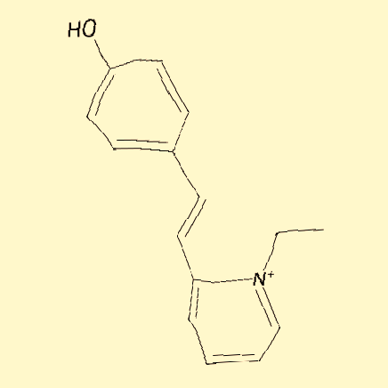 CC[n+]1ccccc1C=Cc1ccc(O)cc1